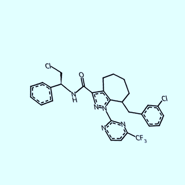 O=C(N[C@H](CCl)c1ccccc1)c1nn(-c2nccc(C(F)(F)F)n2)c2c1CCCCC2Cc1cccc(Cl)c1